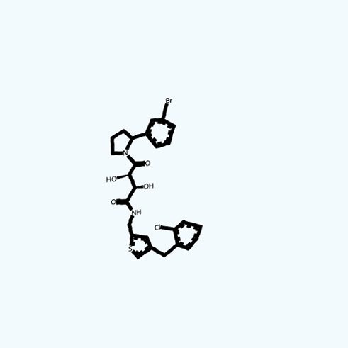 O=C(NCc1cc(Cc2ccccc2Cl)cs1)[C@H](O)[C@@H](O)C(=O)N1CCCC1c1cccc(Br)c1